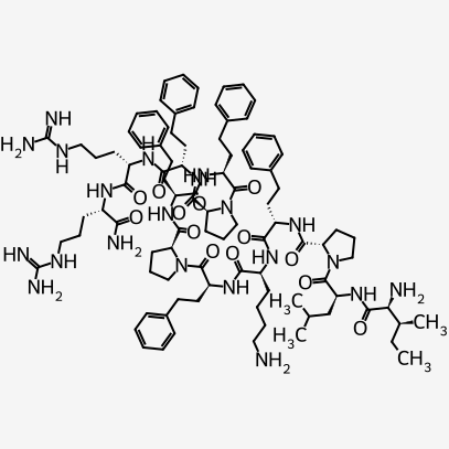 CC[C@H](C)[C@H](N)C(=O)N[C@@H](CC(C)C)C(=O)N1CCC[C@H]1C(=O)N[C@@H](CCc1ccccc1)C(=O)N[C@@H](CCCCN)C(=O)N[C@@H](CCc1ccccc1)C(=O)N1CCC[C@H]1C(=O)N[C@@H](CCc1ccccc1)C(=O)N[C@@H](CCc1ccccc1)C(=O)N1CCC[C@H]1C(=O)N[C@@H](CCc1ccccc1)C(=O)N[C@@H](CCCNC(=N)N)C(=O)N[C@@H](CCCNC(=N)N)C(N)=O